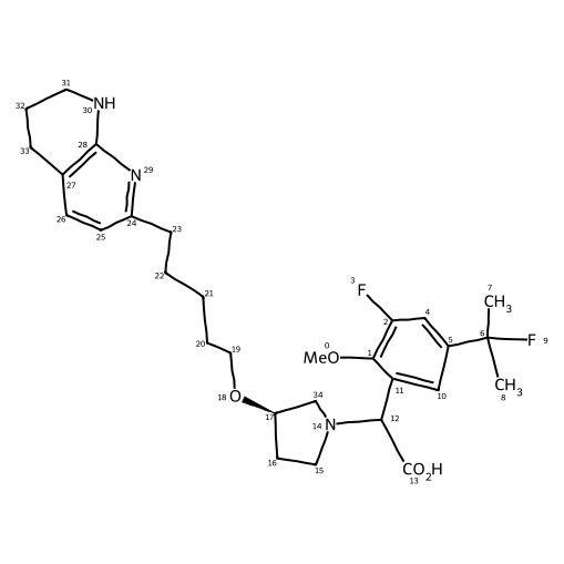 COc1c(F)cc(C(C)(C)F)cc1C(C(=O)O)N1CC[C@@H](OCCCCCc2ccc3c(n2)NCCC3)C1